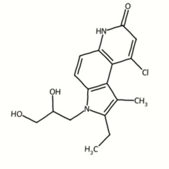 CCc1c(C)c2c3c(Cl)cc(=O)[nH]c3ccc2n1CC(O)CO